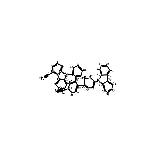 N#Cc1cccc2c1c1ccccc1n2-c1ccccc1C1=CC(C#N)CC=C1C1=CC=C(n2c3ccccc3c3ccccc32)CC1